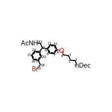 CCCCCCCCCCCCCCOc1ccc(C(CNC(C)=O)c2cccc(CBr)c2)cc1